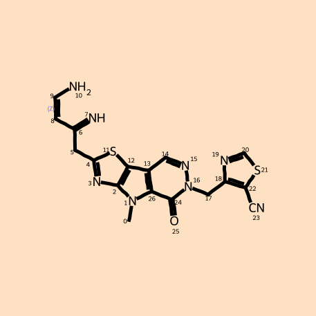 Cn1c2nc(CC(=N)/C=C\N)sc2c2cnn(Cc3ncsc3C#N)c(=O)c21